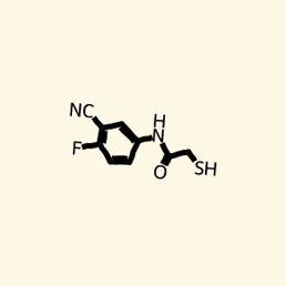 N#Cc1cc(NC(=O)CS)ccc1F